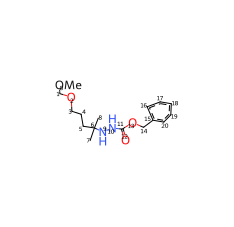 COCOCCCC(C)(C)NNC(=O)OCc1ccccc1